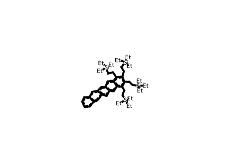 CC[Si](CC)(CC)CCc1c(CC[Si](CC)(CC)CC)c(CC[Si](CC)(CC)CC)c2cc3cc4cc5ccccc5cc4cc3cc2c1CC[Si](CC)(CC)CC